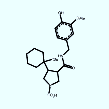 COc1cc(CNC(=O)C2CN(C(=O)O)CC2C2(C(C)(C)C)CCCCC2)ccc1O